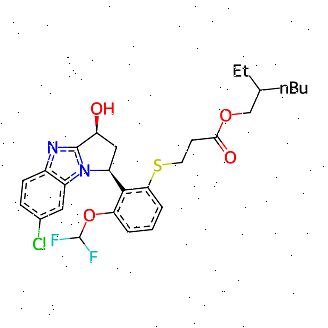 CCCCC(CC)COC(=O)CCSc1cccc(OC(F)F)c1[C@@H]1C[C@H](O)c2nc3ccc(Cl)cc3n21